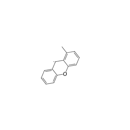 Cc1cccc2c1[CH]c1ccccc1O2